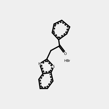 Br.O=C(Cc1nc2ccccc2s1)c1ccccc1